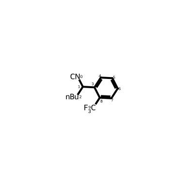 [C-]#[N+]C(CCCC)c1ccccc1C(F)(F)F